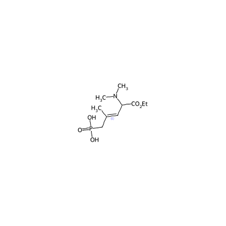 CCOC(=O)C(/C=C(\C)CP(=O)(O)O)N(C)C